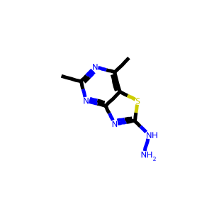 Cc1nc(C)c2sc(NN)nc2n1